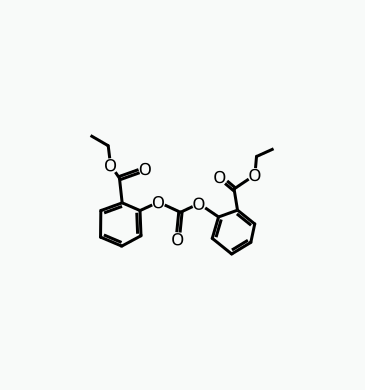 CCOC(=O)c1ccccc1OC(=O)Oc1ccccc1C(=O)OCC